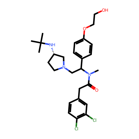 CN(C(=O)Cc1ccc(Cl)c(Cl)c1)C(CN1CC[C@H](NC(C)(C)C)C1)c1ccc(OCCO)cc1